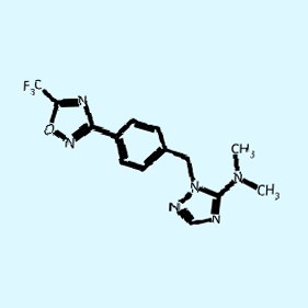 CN(C)c1ncnn1Cc1ccc(-c2noc(C(F)(F)F)n2)cc1